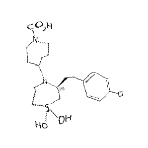 O=C(O)N1CCC(N2CCS(O)(O)C[C@@H]2Cc2ccc(Cl)cc2)CC1